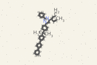 C=C/C=C(\C=C/C)c1cc(-c2ccc(C(C)(C)c3ccc(-c4ccc(-c5ccccc5)cc4)cc3)cc2)nc(-c2ccccc2)n1